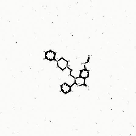 O=CNc1ccc2c(c1)N(CCN1CCN(c3ccccc3)CC1)C(c1ccccc1)NC2=O